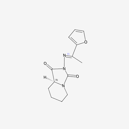 C/C(=N\N1C(=O)[C@@H]2CCCCN2C1=O)c1ccco1